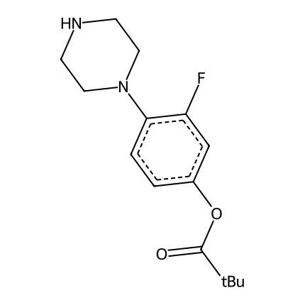 CC(C)(C)C(=O)Oc1ccc(N2CCNCC2)c(F)c1